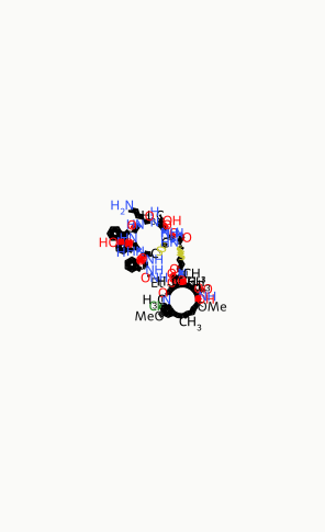 CCNC(=O)N[C@H](Cc1ccccc1)C(=O)N[C@H]1CSSC[C@@H](C(=O)N[C@@H](CSSCCC(=O)N(C)[C@@H](C)C(=O)O[C@H]2CC(=O)N(C)c3cc(cc(OC)c3Cl)C/C(C)=C/C=C/[C@@H](OC)[C@@]3(O)C[C@H](OC(=O)N3)[C@@H](C)C3O[C@]32C)C(N)=O)NC(=O)[C@H]([C@@H](C)O)NC(=O)[C@H](CCCCN)NC(=O)[C@@H](Cc2c[nH]c3ccccc23)NC(=O)[C@H](Cc2ccc(O)cc2)NC1=O